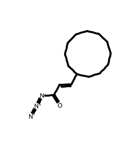 [N-]=[N+]=NC(=O)/C=C/C1CCCCCCCCCCC1